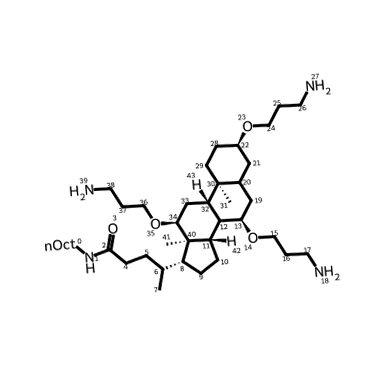 CCCCCCCCNC(=O)CCC(C)[C@H]1CC[C@H]2C3[C@H](OCCCN)CC4C[C@H](OCCCN)CC[C@]4(C)[C@H]3C[C@H](OCCCN)[C@]12C